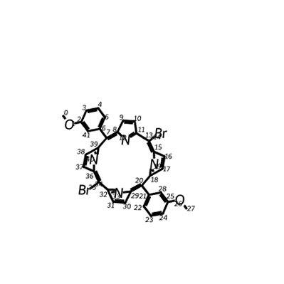 COc1cccc(C2=C3C=CC(=N3)C(Br)=C3C=CC(=N3)C(c3cccc(OC)c3)=C3C=CC(=N3)C(Br)=C3C=CC2=N3)c1